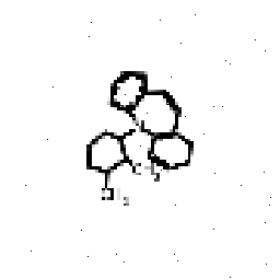 CC1CCCC(N2C3=C(C=Cc4ccccc42)CCC=C3)C1C